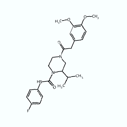 COc1ccc(CC(=O)N2CCN(C(=O)Nc3ccc(F)cc3)C(C(C)C)C2)cc1OC